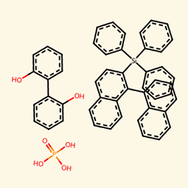 O=P(O)(O)O.Oc1ccccc1-c1ccccc1O.c1ccc([Si](c2ccccc2)(c2ccccc2)c2ccc3ccccc3c2-c2cccc3ccccc23)cc1